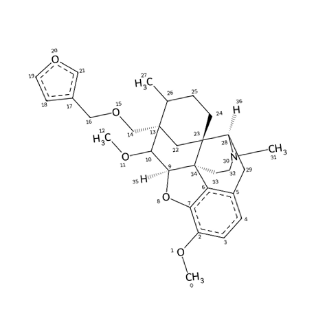 COc1ccc2c3c1O[C@H]1C(OC)[C@]4(COCc5ccoc5)C[C@]5(CCC4C)[C@@H](C2)N(C)CC[C@]315